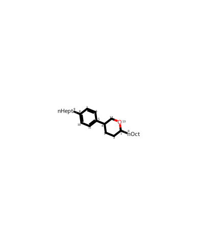 CCCCCCCCC1CCC(c2ccc(CCCCCCC)cc2)CO1